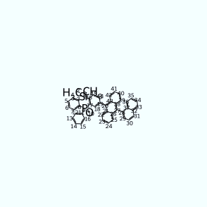 C[Si]1(C)c2ccccc2P(=O)(c2ccccc2)c2cc(-c3c4ccccc4c(-c4cccc5ccccc45)c4ccccc34)ccc21